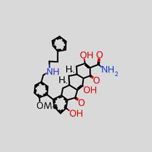 COc1ccc(CNCCc2ccccc2)cc1-c1ccc(O)c2c1C[C@H]1C[C@H]3CC(O)=C(C(N)=O)C(=O)C3C(O)=C1C2=O